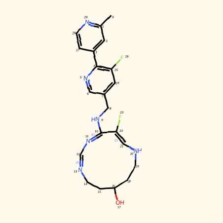 Cc1cc(-c2ncc(CNC3=N/C=N\CCC(O)CCN\C=C\3F)cc2F)ccn1